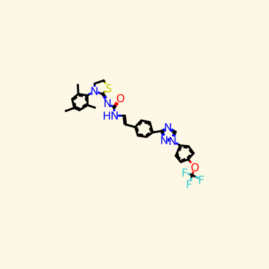 Cc1cc(C)c(N2CCS/C2=N\C(=O)N/C=C/c2ccc(-c3ncn(-c4ccc(OC(F)(F)F)cc4)n3)cc2)c(C)c1